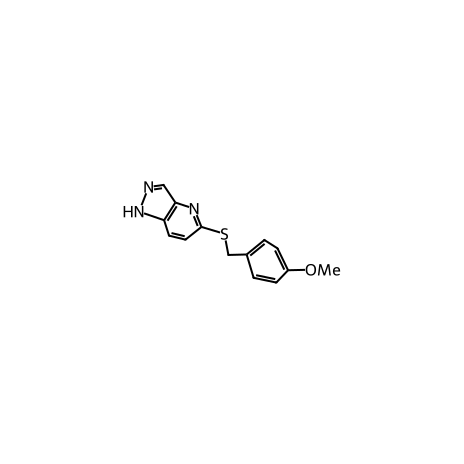 COc1ccc(CSc2ccc3[nH]ncc3n2)cc1